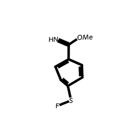 COC(=N)c1ccc(SF)cc1